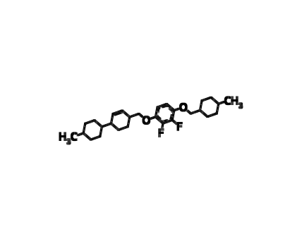 CC1CCC(COc2ccc(OCC3C=CC(C4CCC(C)CC4)CC3)c(F)c2F)CC1